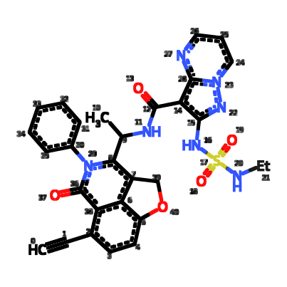 C#Cc1ccc2c3c(c(C(C)NC(=O)c4c(NS(=O)(=O)NCC)nn5cccnc45)n(-c4ccccc4)c(=O)c13)CO2